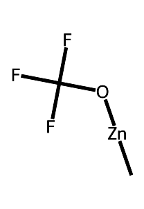 [CH3][Zn][O]C(F)(F)F